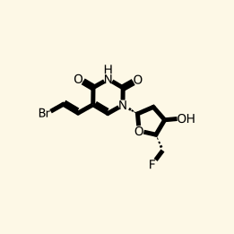 O=c1[nH]c(=O)n([C@@H]2CC(O)[C@H](CF)O2)cc1/C=C/Br